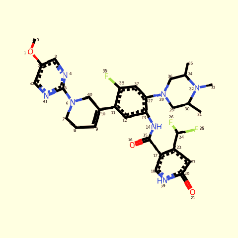 COc1cnc(N2CCC=C(c3cc(NC(=O)c4c[nH]c(=O)cc4C(F)F)c(N4CC(C)N(C)C(C)C4)cc3F)C2)nc1